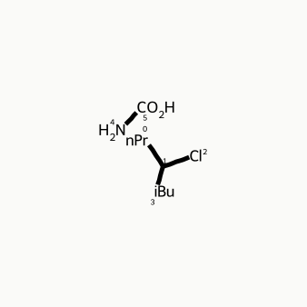 CCCC(Cl)C(C)CC.NC(=O)O